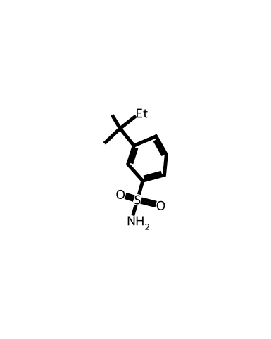 CCC(C)(C)c1cccc(S(N)(=O)=O)c1